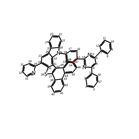 c1ccc(-c2cc(-c3ccccc3)nc(-c3ccc(-n4c5ccccc5c5cc(-c6ccccn6)c6sc7c8ccccc8c8ccccc8c7c6c54)cc3)n2)cc1